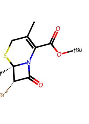 CC1=C(C(=O)OC(C)(C)C)N2C(=O)[C@H](Br)[C@H]2SC1